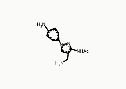 CC(=O)Nc1nn(-c2ccc(N)cc2)cc1CN